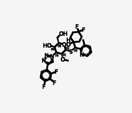 CO[C@@H]1[C@@H](n2cc(-c3ccc(F)c(F)c3F)nn2)[C@@H](O)[C@@H](CO)O[C@H]1S[C@H](c1ncccc1C)C1(O)CCC(F)(F)CC1